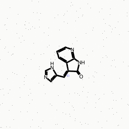 O=C1Nc2ncccc2/C1=C\c1cnc[nH]1